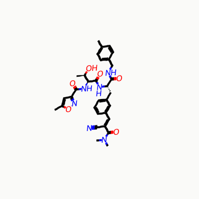 Cc1ccc(CNC(=O)[C@H](Cc2cccc(/C=C(\C#N)C(=O)N(C)C)c2)NC(=O)[C@@H](NC(=O)c2cc(C)on2)[C@@H](C)O)cc1